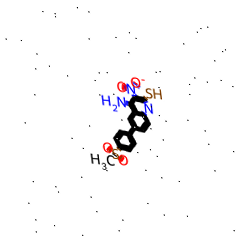 CS(=O)(=O)c1ccc(-c2ccc3nc(S)c([N+](=O)[O-])c(N)c3c2)cc1